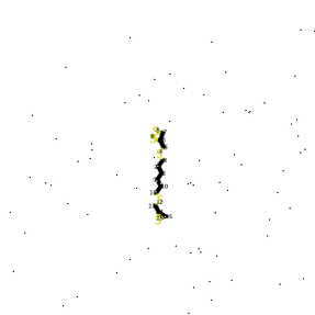 C(CCCSCC1CSS1)CCSCC1CS1